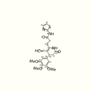 C#CC1=C(SCC(=O)Nc2nccs2)NC(=O)CC1c1cc(OC)c(OC)c(OC)c1